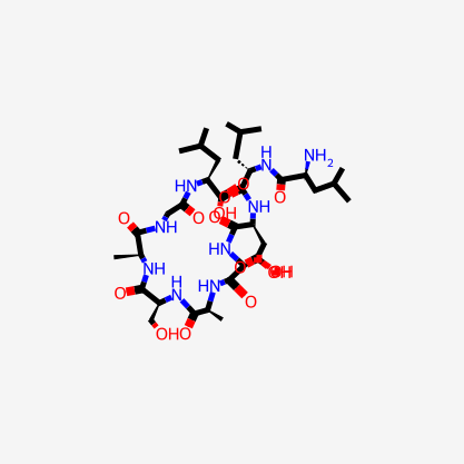 CC(C)C[C@H](NC(=O)CNC(=O)[C@H](C)NC(=O)[C@H](CO)NC(=O)[C@H](C)NC(=O)[C@H](CO)NC(=O)[C@H](CC(=O)O)NC(=O)[C@H](CC(C)C)NC(=O)[C@@H](N)CC(C)C)C(=O)O